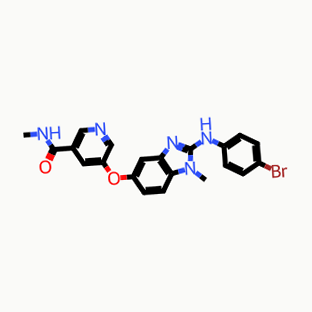 CNC(=O)c1cncc(Oc2ccc3c(c2)nc(Nc2ccc(Br)cc2)n3C)c1